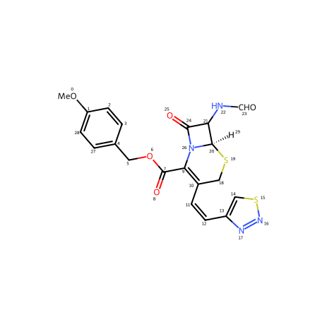 COc1ccc(COC(=O)C2=C(/C=C\c3csnn3)CS[C@@H]3C(NC=O)C(=O)N23)cc1